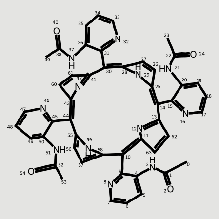 CC(=O)Nc1cccnc1-c1c2nc(c(-c3ncccc3NC(C)=O)c3ccc([nH]3)c(-c3ncccc3NC(C)=O)c3nc(c(-c4ncccc4NC(C)=O)c4ccc1[nH]4)C=C3)C=C2